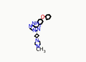 CN1CCN([C@H]2C[C@@H](c3nc(-c4ccc(Oc5ccccc5)cc4)c4c(N)nccn43)C2)CC1